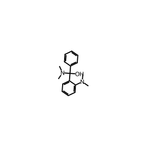 CN(C)c1ccccc1C(O)(c1ccccc1)N(C)C